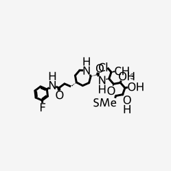 CSC1O[C@H]([C@H](NC(=O)[C@@H]2CC[C@H](CCC(=O)Nc3cccc(F)c3)CCN2)[C@H](C)Cl)C(O)C(O)[C@H]1O